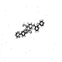 CC(C)C(=O)N1[C@H](C)CN(Cc2ccccc2Oc2ccccc2)C[C@@H]1C(=O)NCc1ccc(-c2ncccn2)cc1